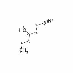 CCCC(O)CCC#N